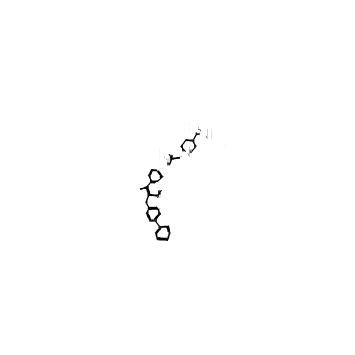 Cc1c(Cc2ccc(-c3ccccc3)cc2)c(=O)oc2cc(OCC(O)CN3CCC(C(N)=O)CC3)ccc12